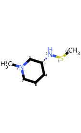 CSN[C@@H]1CCCN(C)C1